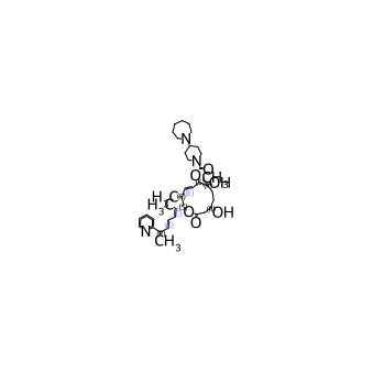 C/C(=C\C=C\[C@@H](C)c1ccccn1)[C@H]1OC(=O)C[C@H](O)CC[C@@](C)(O)[C@@H](OC(=O)N2CCC(N3CCCCCC3)CC2)/C=C/[C@@H]1C